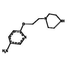 Nc1ccc(OCCN2CCNCC2)nc1